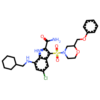 NC(=O)c1[nH]c2c(NCC3CCCCC3)cc(Cl)cc2c1S(=O)(=O)N1CCOC(COc2ccccc2)C1